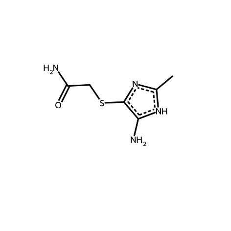 Cc1nc(SCC(N)=O)c(N)[nH]1